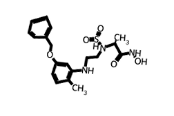 Cc1ccc(OCc2ccccc2)cc1NCCN([C@H](C)C(=O)NO)[SH](=O)=O